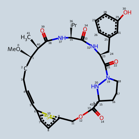 CO[C@@H]1CCC=Cc2ccc(s2)COC(=O)[C@@H]2CCCN(N2)C(=O)[C@H](Cc2cccc(O)c2)NC(=O)[C@H](C(C)C)NC(=O)[C@@H]1C